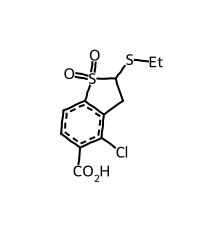 CCSC1Cc2c(ccc(C(=O)O)c2Cl)S1(=O)=O